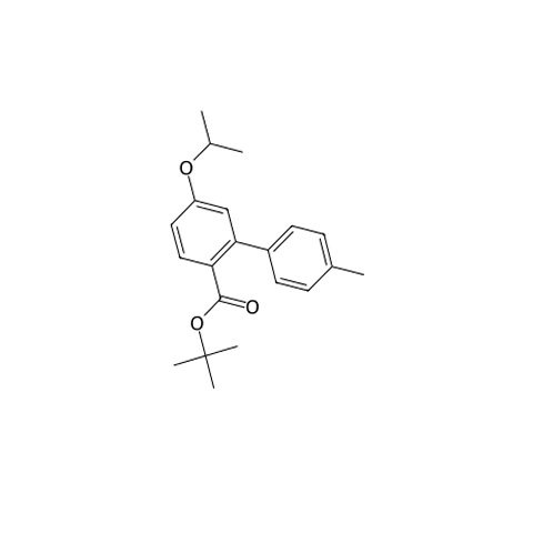 Cc1ccc(-c2cc(OC(C)C)ccc2C(=O)OC(C)(C)C)cc1